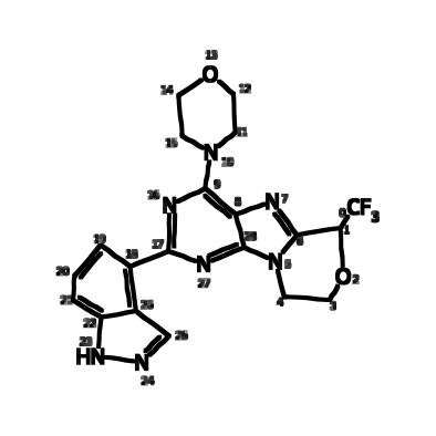 FC(F)(F)C1OCCn2c1nc1c(N3CCOCC3)nc(-c3cccc4[nH]ncc34)nc12